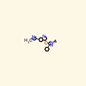 Cn1cc(-c2ccc3c(Oc4cn(C5CC5)nc4-c4ccccc4)ccnc3c2)cn1